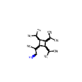 N#CC(C#N)=C1C(=C(C#N)C#N)C(=C(C#N)C=N)C1=C(C#N)C#N